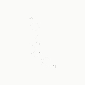 O=C(C=Cc1ccc([N+](=O)[O-])cc1)Nc1nc(-c2ccc(Cl)cc2)cs1